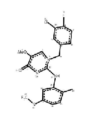 COc1cn(Cc2ccc(F)c(Cl)c2)c(Nc2cc(SC(F)(F)F)ccc2C)nc1=O